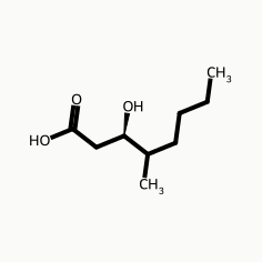 CCCCC(C)[C@H](O)CC(=O)O